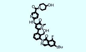 Cn1nc(-c2cccc(-n3ncc4cc(C(C)(C)C)cc(F)c4c3=O)c2CO)cc(Nc2ccc(C(=O)N3CCC(O)CC3)cn2)c1=O